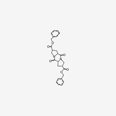 O=C(OCc1ccccc1)C1CC2C(=O)N3CC(C(=O)OCc4ccccc4)CC3C(=O)N2C1